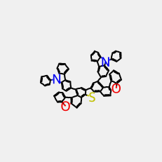 c1ccc(-n2c3ccccc3c3cc(-c4cc5c6cc(-c7ccc8c(c7)c7ccccc7n8-c7ccccc7)c7c(ccc8oc9ccccc9c87)c6sc5c5ccc6oc7ccccc7c6c45)ccc32)cc1